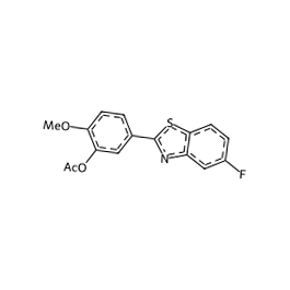 COc1ccc(-c2nc3cc(F)ccc3s2)cc1OC(C)=O